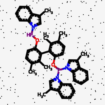 Cc1ccc(OPn2cc(C)c3ccccc32)c(-c2c(OP(n3cc(C)c4ccccc43)n3cc(C)c4ccccc43)ccc(C)c2C)c1C